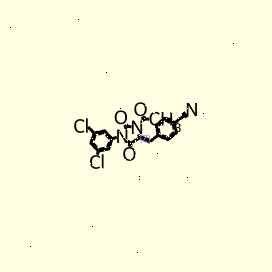 CC(=O)N1C(=O)N(c2cc(Cl)cc(Cl)c2)C(=O)/C1=C/c1ccc(C#N)cc1